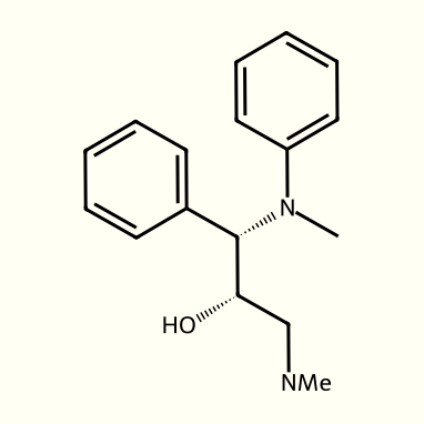 CNC[C@H](O)[C@H](c1ccccc1)N(C)c1ccccc1